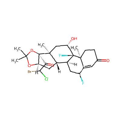 CC1(C)O[C@@H]2C[C@H]3[C@@H]4C[C@H](F)C5=CC(=O)CC[C@]5(C)[C@@]4(F)[C@@H](O)C[C@]3(C)[C@]2(C(=O)C(Cl)Br)O1